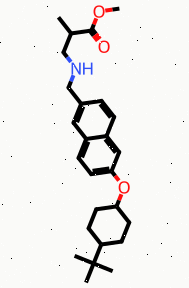 COC(=O)C(C)CNCc1ccc2cc(OC3CCC(C(C)(C)C)CC3)ccc2c1